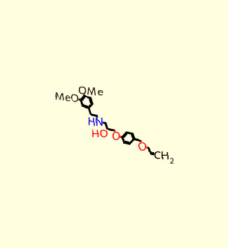 C=CCOCc1ccc(OCC(O)CNCCc2ccc(OC)c(OC)c2)cc1